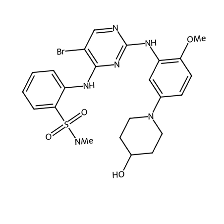 CNS(=O)(=O)c1ccccc1Nc1nc(Nc2cc(N3CCC(O)CC3)ccc2OC)ncc1Br